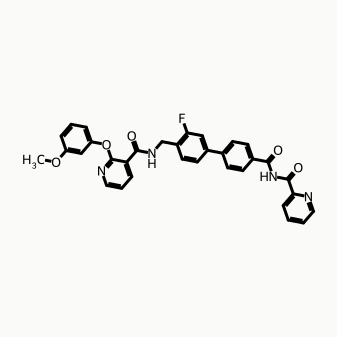 COc1cccc(Oc2ncccc2C(=O)NCc2ccc(-c3ccc(C(=O)NC(=O)c4ccccn4)cc3)cc2F)c1